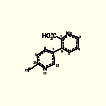 O=C(O)c1ncccc1-c1ccc(F)nc1